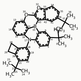 CC(C)(C)c1ccc2c(c1)B1c3c(cccc3N2c2ccc(C(C)(C)C)c3c2CC3)Oc2oc3ccc(C(C)(C)C)cc3c21